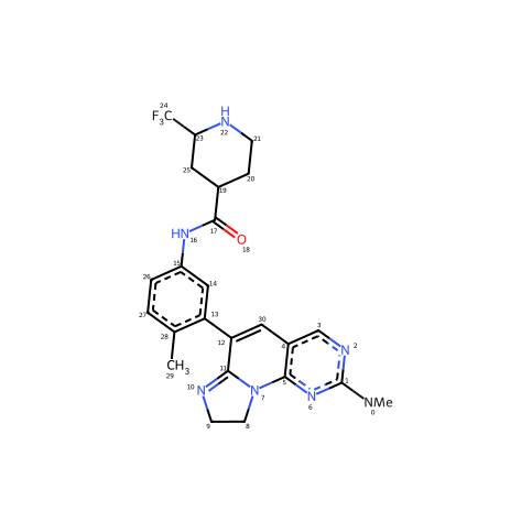 CNc1ncc2c(n1)N1CCN=C1C(c1cc(NC(=O)C3CCNC(C(F)(F)F)C3)ccc1C)=C2